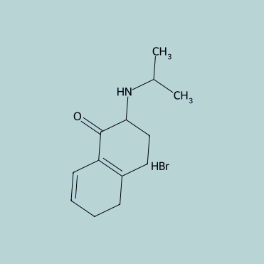 Br.CC(C)NC1CCC2=C(C=CCC2)C1=O